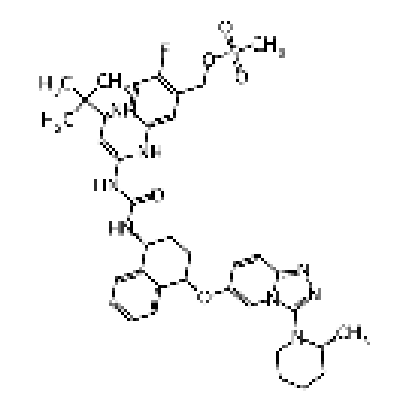 C[C@H]1CCCCN1c1nnc2ccc(O[C@@H]3CC[C@H](NC(=O)N/C(=C/C(=N)C(C)(C)C)Nc4ccc(F)c(COS(C)(=O)=O)c4)c4ccccc43)cn12